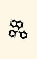 c1ccc(N(c2ccccn2)c2cccc3cnccc23)cc1